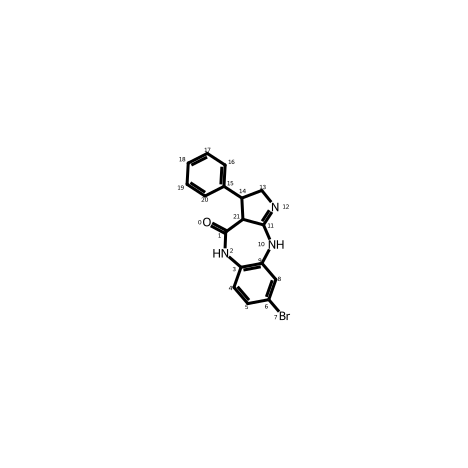 O=C1Nc2ccc(Br)cc2NC2=NCC(c3ccccc3)C12